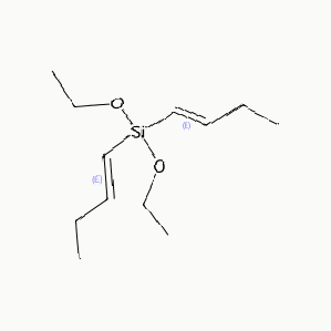 CC/C=C/[Si](/C=C/CC)(OCC)OCC